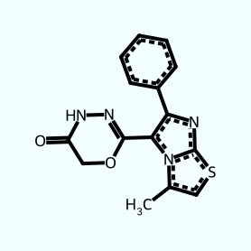 Cc1csc2nc(-c3ccccc3)c(C3=NNC(=O)CO3)n12